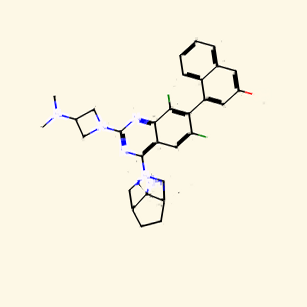 CN(C)C1CN(c2nc(N3CC4CC[C@H](C3)[C@H]4N)c3cc(Cl)c(-c4cc(O)cc5ccccc45)c(F)c3n2)C1